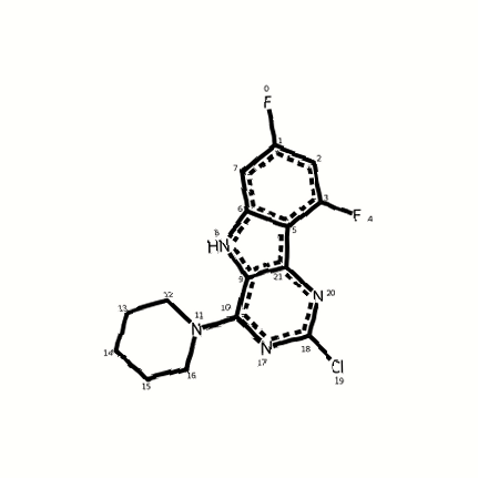 Fc1cc(F)c2c(c1)[nH]c1c(N3CCCCC3)nc(Cl)nc12